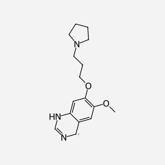 COc1cc2c(cc1OCCCN1CCCC1)NC=N[CH]2